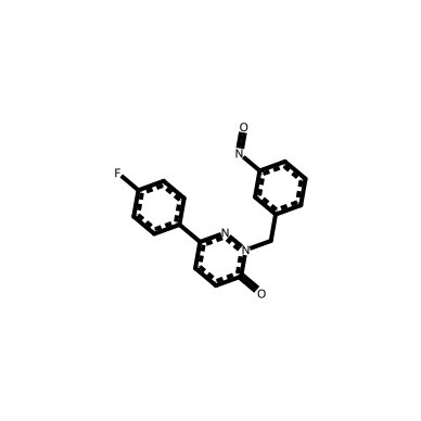 O=Nc1cccc(Cn2nc(-c3ccc(F)cc3)ccc2=O)c1